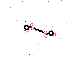 O=C(OCCCCCCOC(=O)C1CCC2OC2C1)C1CCCC(O)C1